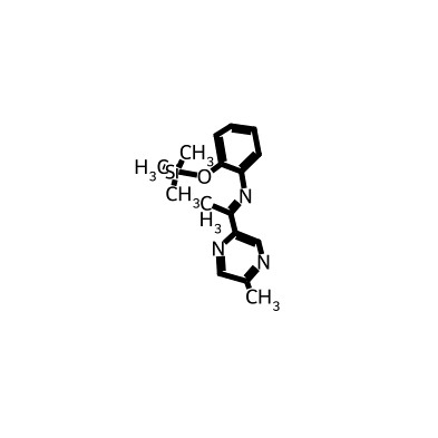 CC(=Nc1ccccc1O[Si](C)(C)C)c1cnc(C)cn1